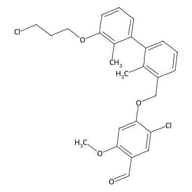 COc1cc(OCc2cccc(-c3cccc(OCCCCl)c3C)c2C)c(Cl)cc1C=O